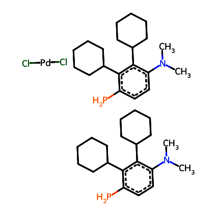 CN(C)c1ccc(P)c(C2CCCCC2)c1C1CCCCC1.CN(C)c1ccc(P)c(C2CCCCC2)c1C1CCCCC1.[Cl][Pd][Cl]